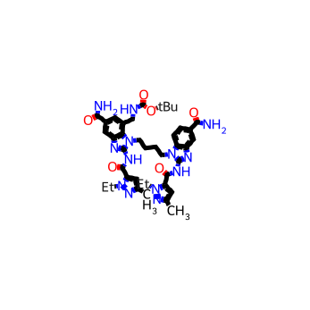 CCn1nc(C)cc1C(=O)Nc1nc2cc(C(N)=O)ccc2n1CCCCn1c(NC(=O)c2cc(C)nn2CC)nc2cc(C(N)=O)cc(CNC(=O)OC(C)(C)C)c21